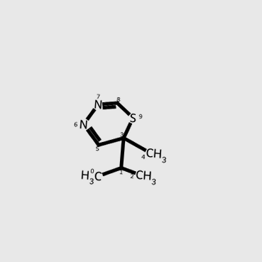 CC(C)C1(C)C=NN=CS1